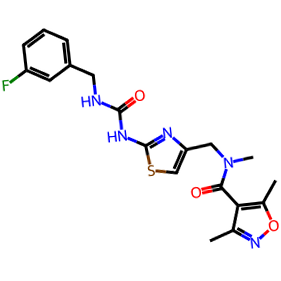 Cc1noc(C)c1C(=O)N(C)Cc1csc(NC(=O)NCc2cccc(F)c2)n1